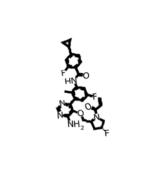 C=CC(=O)N1C[C@H](F)CC1COc1c(N)ncnc1-c1cc(F)cc(NC(=O)c2ccc(C3CC3)cc2F)c1C